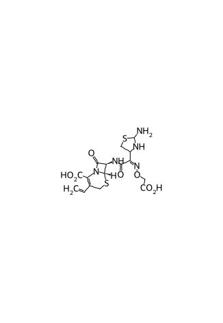 C=CC1=C(C(=O)O)N2C(=O)[C@@H](NC(=O)/C(=N\OCC(=O)O)C3CSC(N)N3)[C@@H]2SC1